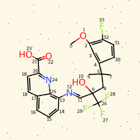 COc1cc(C(C)(C)CC(O)(C=Nc2cccc3ccc(C(=O)O)nc23)C(F)(F)F)ccc1F